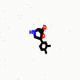 Cc1ccc(C23CNC(C2)C(=O)O3)cc1C